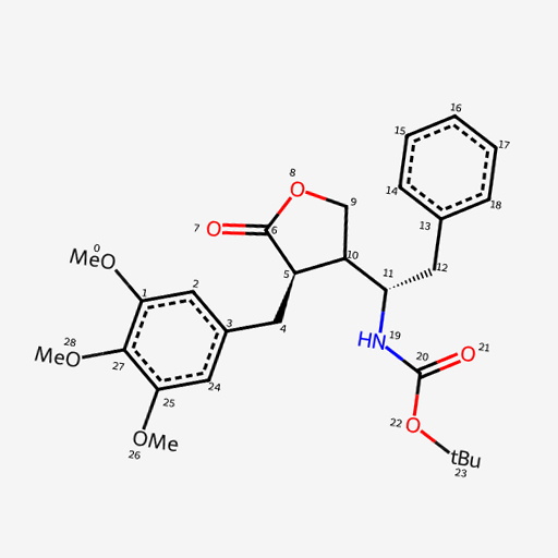 COc1cc(C[C@H]2C(=O)OCC2[C@H](Cc2ccccc2)NC(=O)OC(C)(C)C)cc(OC)c1OC